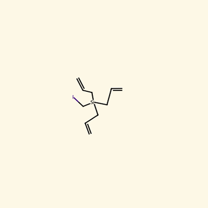 C=CC[Si](CI)(CC=C)CC=C